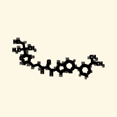 CN(C)c1cncc(-c2ccc3nc(NC(=O)NCCc4noc(C(C)(C)CO)n4)sc3n2)c1